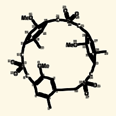 COc1cc2c(C)cc1CS(=O)(=O)Cc1cc(OC)c(cc1C)CS(=O)(=O)Cc1cc(C)c(cc1OC)CS(=O)(=O)C2